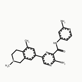 Cc1cc(-c2cnc(N)c(C(=O)Nc3ccnc(N)c3)n2)cc2c1CCN(C)C2